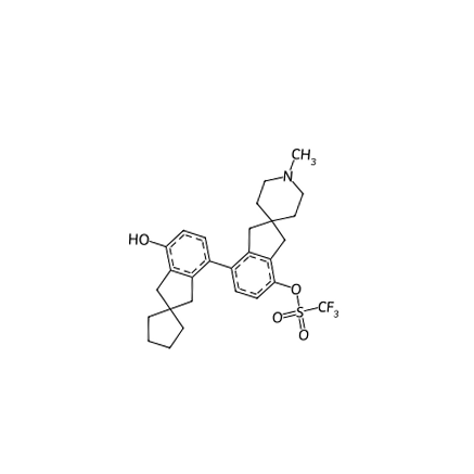 CN1CCC2(CC1)Cc1c(OS(=O)(=O)C(F)(F)F)ccc(-c3ccc(O)c4c3CC3(CCCC3)C4)c1C2